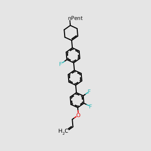 C=CCOc1ccc(-c2ccc(-c3ccc(C4=CCC(CCCCC)CC4)cc3F)cc2)c(F)c1F